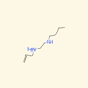 C=CCNCCNCCCC